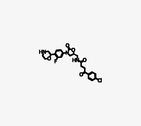 O=C(CCC(=O)c1ccc(Cl)cc1)NC[C@H]1CN(c2ccc(C3CNCCO3)c(F)c2)C(=O)O1